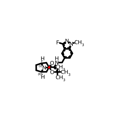 Cn1nc(F)c2cc(CNC(=O)C3C[C@H]4CC[C@@H](C3)N4C(=O)OC(C)(C)C)ccc21